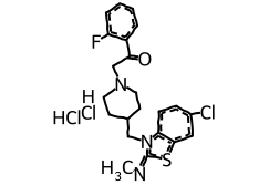 C/N=c1/sc2cc(Cl)ccc2n1CC1CCN(CC(=O)c2ccccc2F)CC1.Cl.Cl